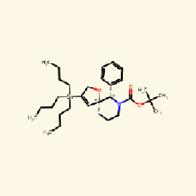 CCC[CH2][Sn]([CH2]CCC)([CH2]CCC)[C]1=C[C@@]2(CCCN(C(=O)OC(C)(C)C)[C@H]2c2ccccc2)OC1